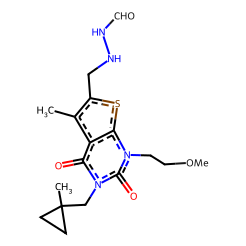 COCCn1c(=O)n(CC2(C)CC2)c(=O)c2c(C)c(CNNC=O)sc21